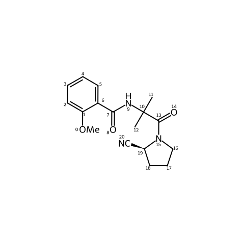 COc1ccccc1C(=O)NC(C)(C)C(=O)N1CCC[C@H]1C#N